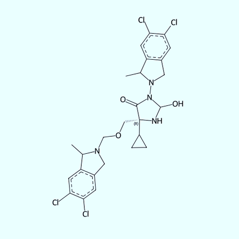 CC1c2cc(Cl)c(Cl)cc2CN1COC[C@@]1(C2CC2)NC(O)N(N2Cc3cc(Cl)c(Cl)cc3C2C)C1=O